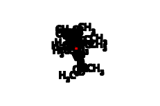 CCOP(=O)(COC1CCN(C[C@H](NC(=O)OC(C)(C)C)[C@@H](CN(CC(C)C)S(=O)(=O)c2ccc(OC)cc2)O[Si](C)(C)C(C)(C)C)CC1)OCC